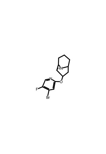 Fc1cnc(OC2CC3CCCC(C2)N3)cc1Br